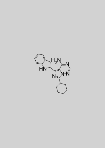 Nc1ncnn2c(C3CCCCC3)nc(C3Cc4ccccc4N3)c12